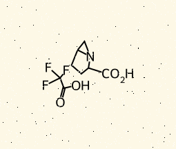 O=C(O)C(F)(F)F.O=C(O)C1CCC2CN21